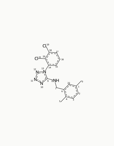 Cc1ccc(C)c(CNc2nnnn2-c2cccc(Cl)c2Cl)c1